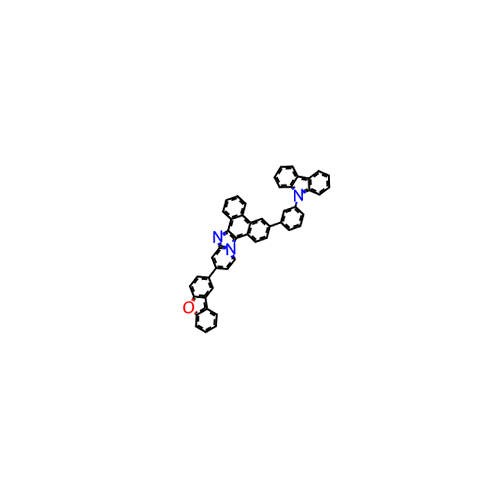 c1cc(-c2ccc3c(c2)c2ccccc2c2nc4cc(-c5ccc6oc7ccccc7c6c5)ccn4c32)cc(-n2c3ccccc3c3ccccc32)c1